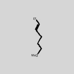 [CH2]CC=CCCCOC